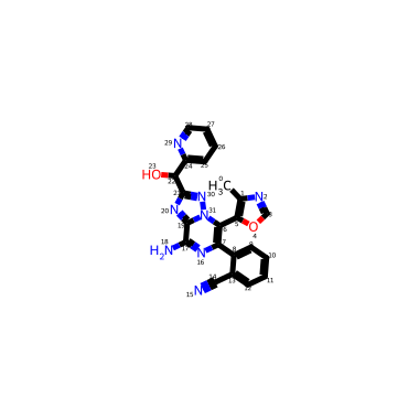 Cc1ncoc1-c1c(-c2ccccc2C#N)nc(N)c2nc(C(O)c3ccccn3)nn12